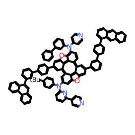 CC(C)(C)c1ccc(N(c2cc3oc4cc(-c5cccc(-c6ccc(-c7cccc8cc9ccccc9cc78)cc6)c5)cc5c6ccc(N(c7ccncc7)c7cccc(-c8ccccc8)c7)c7oc8cc(-c9ccc(-c%10cccc(-c%11cc%12ccccc%12c%12ccccc%11%12)c%10)cc9)cc(c(c2)c3c45)c8c76)c2cccc(-c3ccncc3)n2)cc1